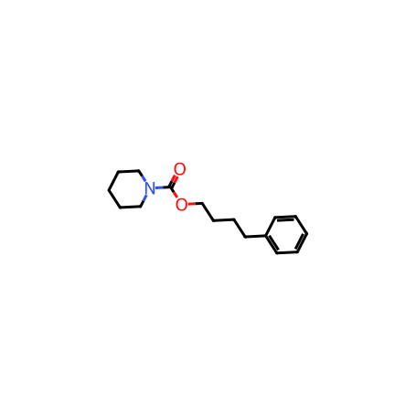 O=C(OCCCCc1ccccc1)N1CCCCC1